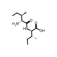 CC[C@@H](C)[C@@H](N)C(=O)N[C@@H](C(=O)O)[C@H](C)CC